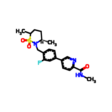 CNC(=O)c1ccc(-c2ccc(CN3[C@@H](C)CCC(C)S3(=O)=O)c(F)c2)cn1